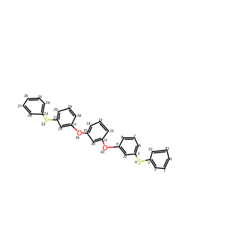 c1ccc(Sc2cccc(Oc3cccc(Oc4cccc(Sc5ccccc5)c4)c3)c2)cc1